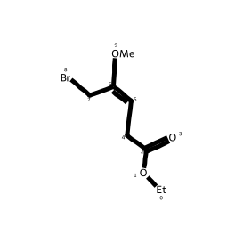 CCOC(=O)CC=C(CBr)OC